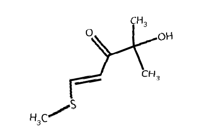 CS/C=C/C(=O)C(C)(C)O